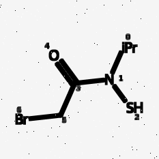 CC(C)N(S)C(=O)CBr